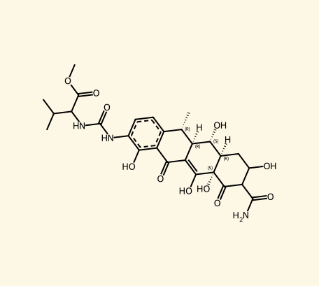 COC(=O)C(NC(=O)Nc1ccc2c(c1O)C(=O)C1=C(O)[C@]3(O)C(=O)C(C(N)=O)C(O)C[C@@H]3[C@@H](O)[C@@H]1[C@H]2C)C(C)C